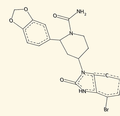 NC(=O)N1CCC(n2c(=O)[nH]c3c(Br)cccc32)CC1c1ccc2c(c1)OCO2